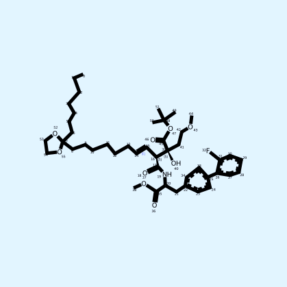 CCCCCCCC1(CCCCCC/C=C/[C@H](C(=O)NC(Cc2ccc(-c3ccccc3F)cc2)C(=O)OC)[C@@](O)(CCOC)C(=O)OC(C)(C)C)OCCO1